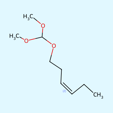 CC/C=C\CCOC(OC)OC